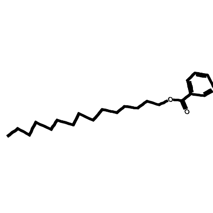 CCCCCCCCCCCCCCCOC(=O)c1cccnc1